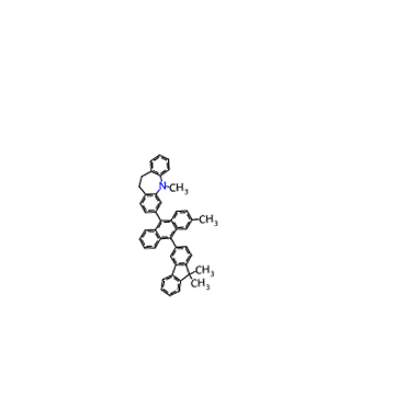 Cc1ccc2c(-c3ccc4c(c3)N(C)c3ccccc3CC4)c3ccccc3c(-c3ccc4c(c3)-c3ccccc3C4(C)C)c2c1